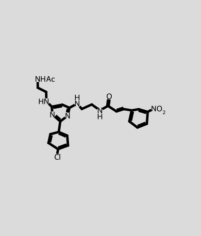 CC(=O)NCCNc1cc(NCCNC(=O)/C=C/c2cccc([N+](=O)[O-])c2)nc(-c2ccc(Cl)cc2)n1